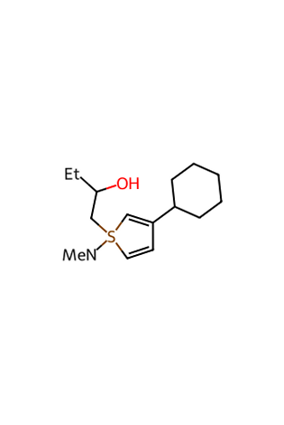 CCC(O)CS1(NC)C=CC(C2CCCCC2)=C1